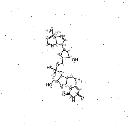 COC1C(OP(=O)(S)OC[C@H]2O[C@@H](N3C=N[C@@H]4C(N)=NC=NC43)C[C@@H]2O)[C@@H](CO)O[C@H]1n1ccc(=O)[nH]c1=O